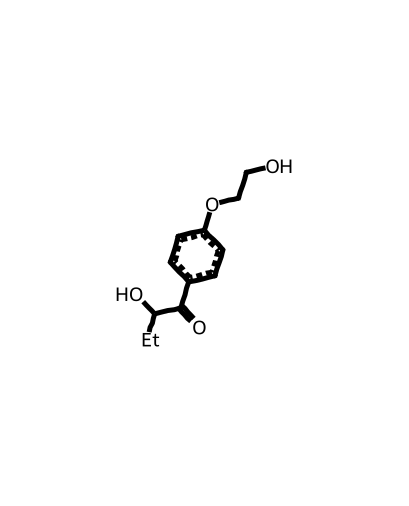 CCC(O)C(=O)c1ccc(OCCO)cc1